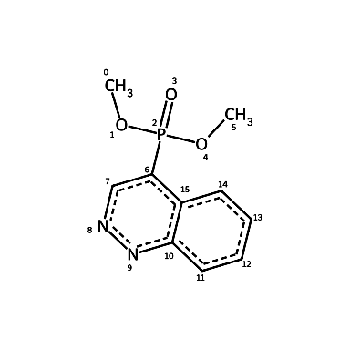 COP(=O)(OC)c1cnnc2ccccc12